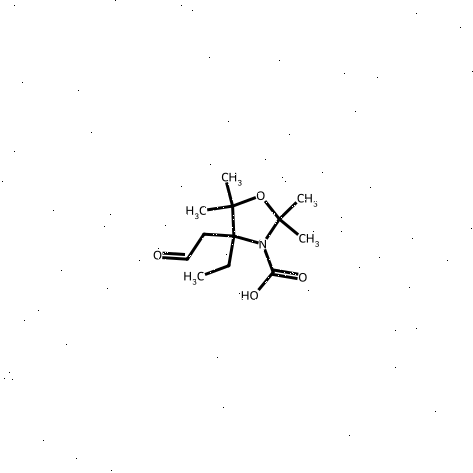 CCC1(CC=O)N(C(=O)O)C(C)(C)OC1(C)C